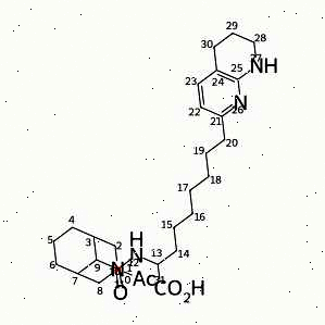 CC(=O)N1CC2CCCC(C1)C2C(=O)NC(CCCCCCCc1ccc2c(n1)NCCC2)C(=O)O